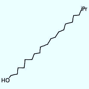 CC(C)CCCCCCCCCCCCCCCCCCO